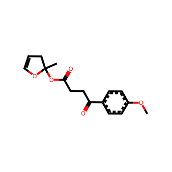 COc1ccc(C(=O)CCC(=O)OC2(C)CC=CO2)cc1